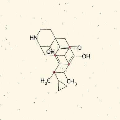 CCC(C)CC1CC2(O)C3Cc4c(CC5CC5)cc(O)cc4C2(CCN3)CC1=O